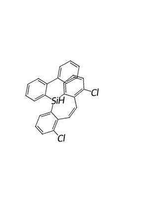 Clc1cccc2c1C=Cc1c(Cl)cccc1[SiH]2c1ccccc1-c1ccccc1